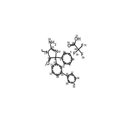 CN1C(=O)C(c2ccccc2)(c2cccc(-c3ccsc3)c2)N=C1N.O=C(O)C(F)(F)F